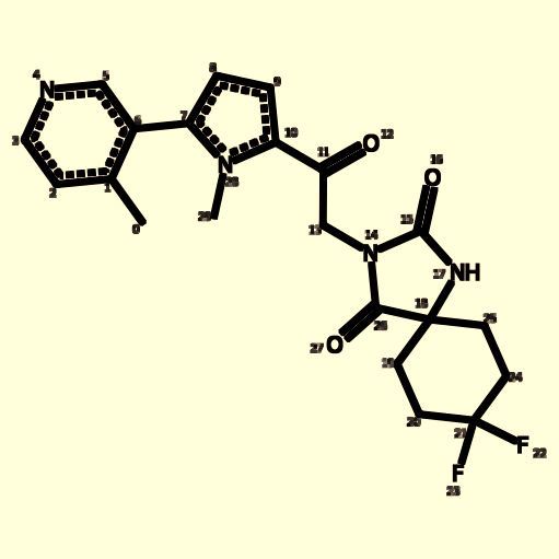 Cc1ccncc1-c1ccc(C(=O)CN2C(=O)NC3(CCC(F)(F)CC3)C2=O)n1C